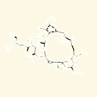 C=C(CN(C)C(=O)CCN(C)C=O)O[C@H]1CC(=O)N(C)c2cc(cc(OC)c2Cl)C/C(C)=C/C=C/[C@@H](OC)C2CC(OC(=C)N2)[C@@H](C)C2OC21